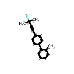 Cc1ccccc1-c1ccc(C#CC(C)(C)F)cc1